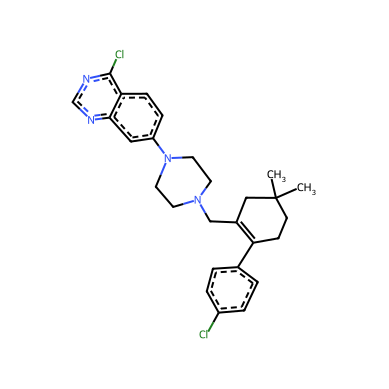 CC1(C)CCC(c2ccc(Cl)cc2)=C(CN2CCN(c3ccc4c(Cl)ncnc4c3)CC2)C1